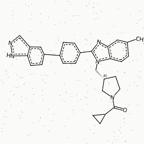 Cc1ccc2c(c1)nc(-c1ccc(-c3ccc4[nH]ncc4c3)cc1)n2C[C@@H]1CCN(C(=O)C2CC2)C1